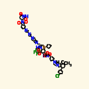 CC1(C)CCC(c2ccc(Cl)cc2)=C(CN2CCN(c3ccc(C(=O)NS(=O)(=O)c4ccc(N[C@H](CCN5CC6CN(C7CN(C8CN(c9ccc%10c(c9)C(=O)N(C9CCC(=O)NC9=O)C%10=O)C8)C7)CC6C5)CSc5ccccc5)c(S(=O)(=O)C(F)(F)F)c4)cc3)CC2)C1